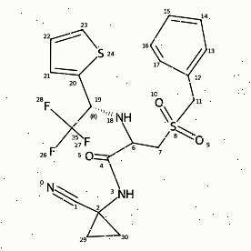 N#CC1(NC(=O)C(CS(=O)(=O)Cc2ccccc2)N[C@@H](c2cccs2)C(F)(F)F)CC1